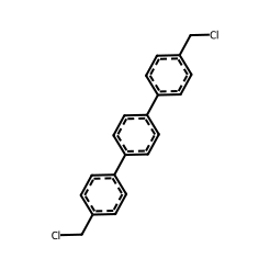 ClCc1ccc(-c2ccc(-c3ccc(CCl)cc3)cc2)cc1